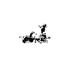 CCCC(=O)NC(c1cccc(C(=O)NCCC(=O)N[C@@H](C(=O)N2C[C@@H](O)C[C@@H]2C(=O)NCc2ccc(-c3scnc3C)cc2)C(C)(C)C)c1)c1cc(C)c2cccnc2c1O